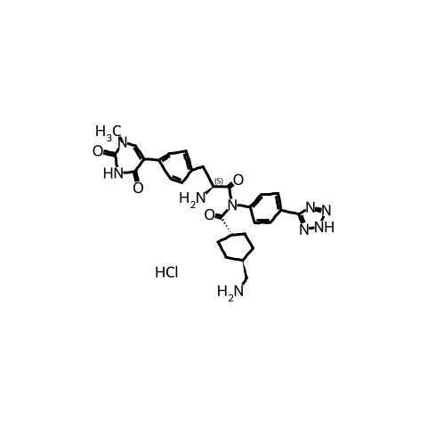 Cl.Cn1cc(-c2ccc(C[C@H](N)C(=O)N(c3ccc(-c4nn[nH]n4)cc3)C(=O)[C@H]3CC[C@H](CN)CC3)cc2)c(=O)[nH]c1=O